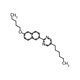 CCCCCCc1cnc(-c2ccc3cc(OCCCCC)ccc3c2)nc1